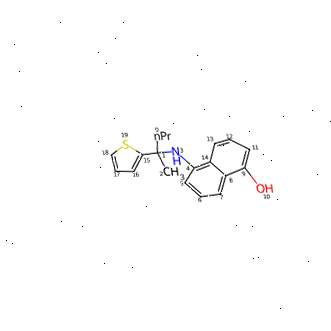 CCCC(C)(Nc1cccc2c(O)cccc12)c1cccs1